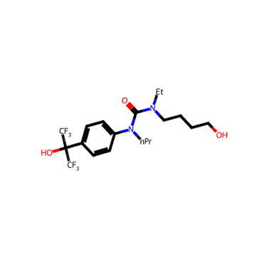 CCCN(C(=O)N(CC)CCCCO)c1ccc(C(O)(C(F)(F)F)C(F)(F)F)cc1